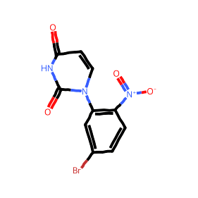 O=c1ccn(-c2cc(Br)ccc2[N+](=O)[O-])c(=O)[nH]1